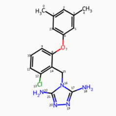 Cc1cc(C)cc(Oc2cccc(Cl)c2Cn2c(N)nnc2N)c1